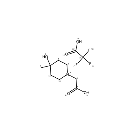 CC1(O)CCN(CC(=O)O)CC1.O=C(O)C(F)(F)F